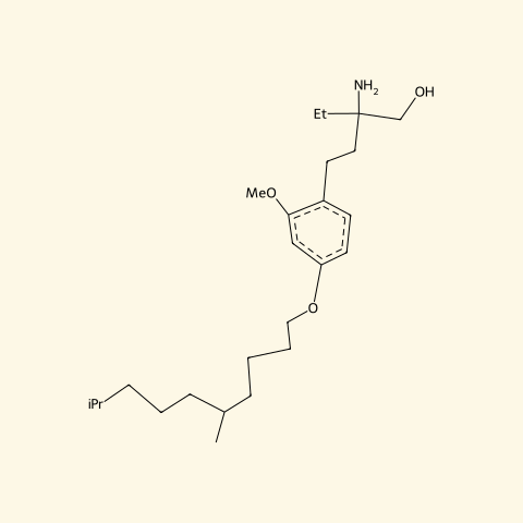 CCC(N)(CO)CCc1ccc(OCCCCC(C)CCCC(C)C)cc1OC